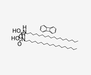 CCCCCCCCCCCCCCCCCCNC(=O)O.CCCCCCCCCCCCCCCCCCNC(=O)O.c1ccc2c(c1)-c1ccccc1-2